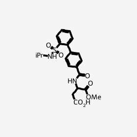 COC(=O)C(CC(=O)O)NC(=O)c1ccc(-c2ccccc2S(=O)(=O)NC(C)C)cc1